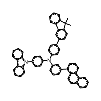 CC1(C)c2ccccc2-c2cc(-c3ccc(N(c4ccc(-n5c6ccccc6c6ccccc65)cc4)c4cccc(-c5cccc6c5ccc5ccccc56)c4)cc3)ccc21